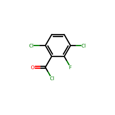 O=C(Cl)c1c(Cl)ccc(Cl)c1F